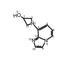 OC1CN(c2cc[c]n3ccnc23)C1